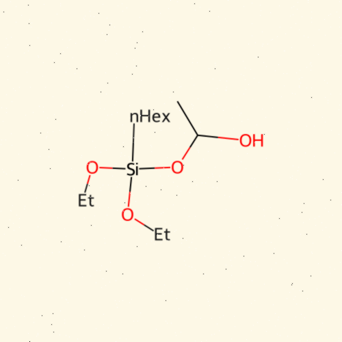 CCCCCC[Si](OCC)(OCC)OC(C)O